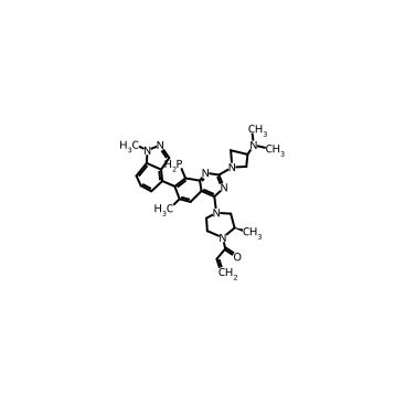 C=CC(=O)N1CCN(c2nc(N3CC(N(C)C)C3)nc3c(P)c(-c4cccc5c4cnn5C)c(C)cc23)C[C@H]1C